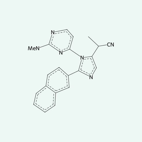 CNc1nccc(-n2c(C(C)C#N)cnc2-c2ccc3ccccc3c2)n1